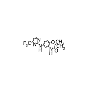 CC1(C)Oc2ccc(Nc3nccc(C(F)(F)F)n3)cc2NC1=O